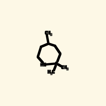 CC1CCNS(C)(C)CC1